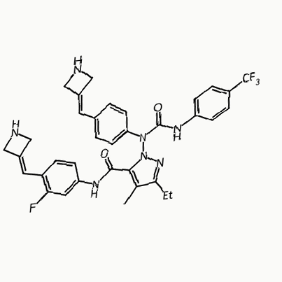 CCc1nn(N(C(=O)Nc2ccc(C(F)(F)F)cc2)c2ccc(C=C3CNC3)cc2)c(C(=O)Nc2ccc(C=C3CNC3)c(F)c2)c1C